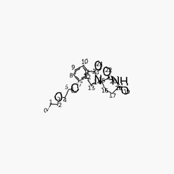 CCCOCCOc1cccc2c1CN(C1CCC(=O)NC1=O)C2=O